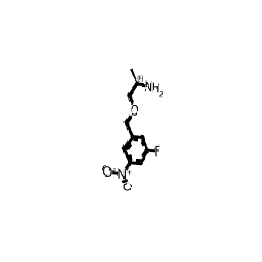 C[C@@H](N)COCc1cc(F)cc([N+](=O)[O-])c1